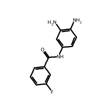 Nc1ccc(NC(=O)c2cccc(F)c2)cc1N